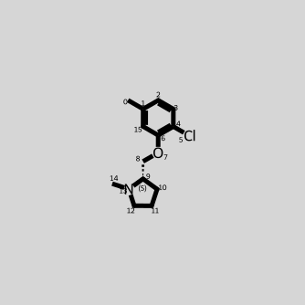 Cc1ccc(Cl)c(OC[C@@H]2CCCN2C)c1